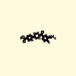 COC(=O)c1ccc(C2CCN(C(=O)c3ccc(C)c(N)c3)CC2)cc1